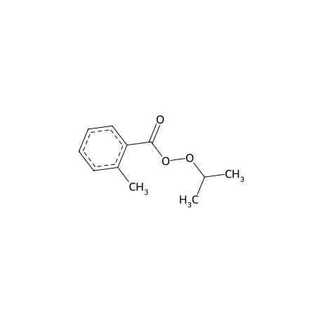 Cc1ccccc1C(=O)OOC(C)C